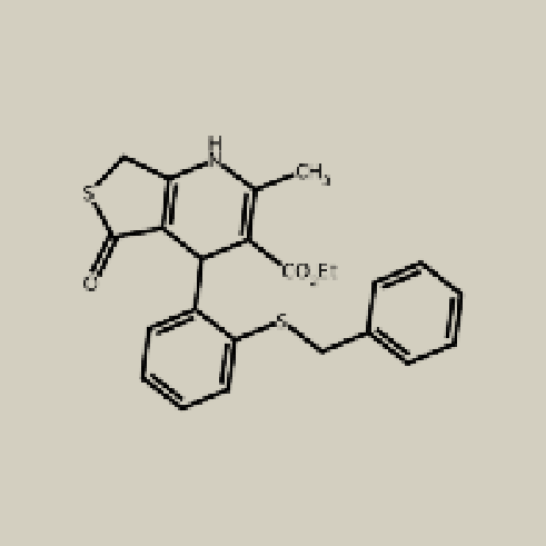 CCOC(=O)C1=C(C)NC2=C(C(=O)SC2)C1c1ccccc1SCc1ccccc1